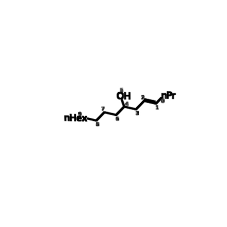 CCC/C=C/CC(O)CCCCCCCCC